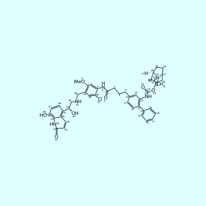 COc1cc(NC(=O)CCCc2ccc(-c3ccccc3)c(NC(=O)OC3CC4CC[C@H](C3)[N+]4(C)C)c2)c(Cl)cc1CNC[C@@H](O)c1ccc(O)c2[nH]c(=O)ccc12